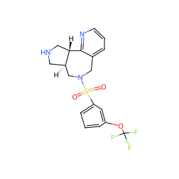 O=S(=O)(c1cccc(OC(F)(F)F)c1)N1Cc2cccnc2[C@H]2CNC[C@@H]2C1